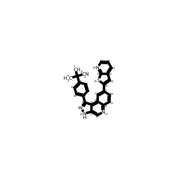 CC(C)(C#N)c1ccc(-c2n[nH]c3cnc4ccc(-c5cc6cccnc6s5)cc4c23)cc1